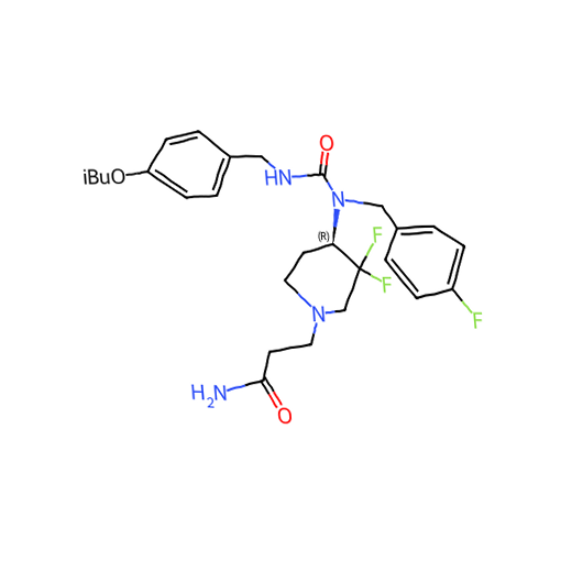 CC(C)COc1ccc(CNC(=O)N(Cc2ccc(F)cc2)[C@@H]2CCN(CCC(N)=O)CC2(F)F)cc1